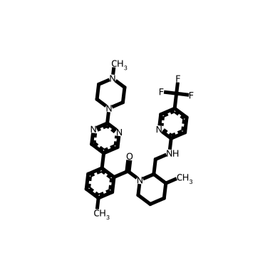 Cc1ccc(-c2cnc(N3CCN(C)CC3)nc2)c(C(=O)N2CCCC(C)C2CNc2ccc(C(F)(F)F)cn2)c1